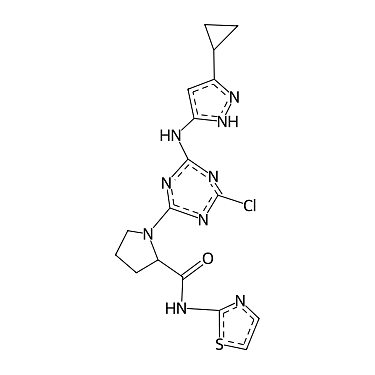 O=C(Nc1nccs1)C1CCCN1c1nc(Cl)nc(Nc2cc(C3CC3)n[nH]2)n1